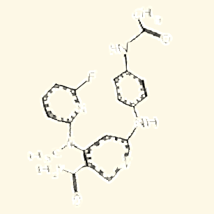 CC(=O)Nc1ccc(Nc2cc(N(C)c3cccc(F)n3)c(C(N)=O)cn2)cc1